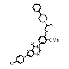 COc1cc(-n2cnc3cc(-c4ccc(Cl)cc4)sc3c2=O)ccc1OCC(=O)N1CCC(c2ccccc2)CC1